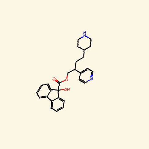 O=C(OCC(CCC1CCNCC1)c1ccncc1)C1(O)c2ccccc2-c2ccccc21